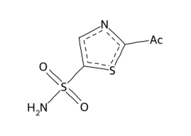 CC(=O)c1ncc(S(N)(=O)=O)s1